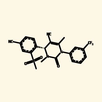 [C-]#[N+]C1=C(C)N(c2cccc(C(F)(F)F)c2)C(=O)N(C)[C@@H]1c1ccc(C#N)cc1S(C)(=O)=O